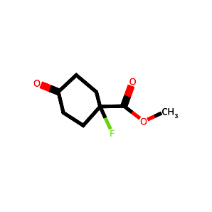 COC(=O)C1(F)CCC(=O)CC1